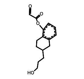 O=CC(=O)Oc1cccc2c1CCC(CCCO)C2